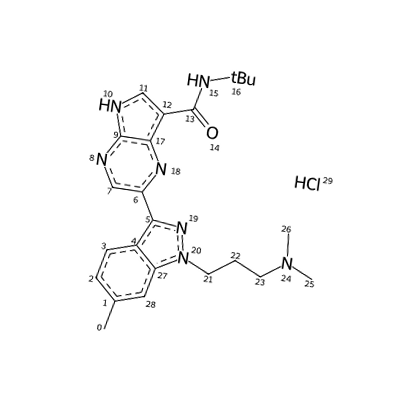 Cc1ccc2c(-c3cnc4[nH]cc(C(=O)NC(C)(C)C)c4n3)nn(CCCN(C)C)c2c1.Cl